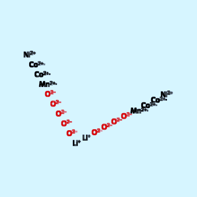 [Co+2].[Co+2].[Co+2].[Co+2].[Li+].[Li+].[Mn+2].[Mn+2].[Ni+2].[Ni+2].[O-2].[O-2].[O-2].[O-2].[O-2].[O-2].[O-2].[O-2].[O-2]